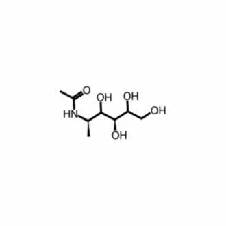 CC(=O)N[C@H](C)C(O)[C@H](O)C(O)CO